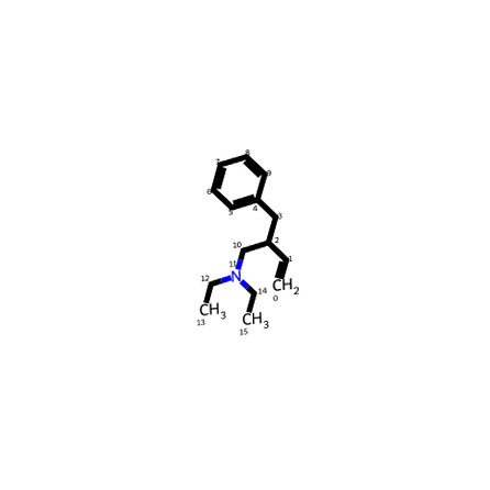 C=CC(Cc1ccccc1)CN(CC)CC